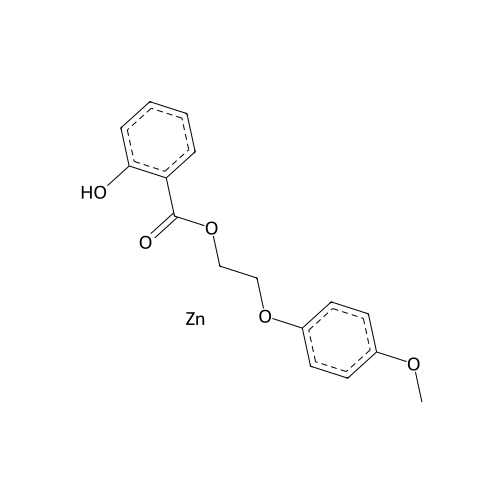 COc1ccc(OCCOC(=O)c2ccccc2O)cc1.[Zn]